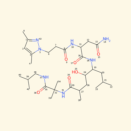 Cc1cc(C)n(CCC(=O)NC(CC(N)=O)C(=O)NC(CC(C)C)C(O)CC(C)C(=O)NC(C)(C)C(=O)NCC(C)C)n1